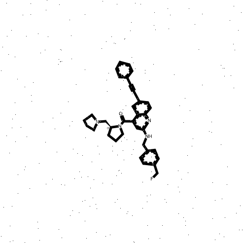 O=C(c1cc(NCc2ccc(CF)cc2)nc2ccc(C#Cc3ccccc3)cc12)N1CCC[C@H]1CN1CCCC1